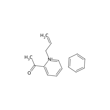 C=CC[n+]1ccccc1C(C)=O.c1ccccc1